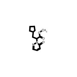 COC(=O)C(CC1CCCC1)n1ncccc1=O